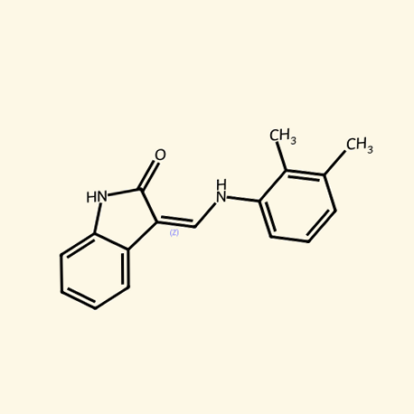 Cc1cccc(N/C=C2\C(=O)Nc3ccccc32)c1C